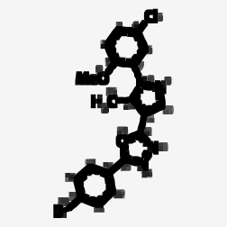 COc1ccc(Cl)cc1-n1ncc(-c2nnc(-c3ccc(Br)cc3)o2)c1C